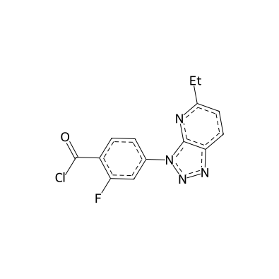 CCc1ccc2nnn(-c3ccc(C(=O)Cl)c(F)c3)c2n1